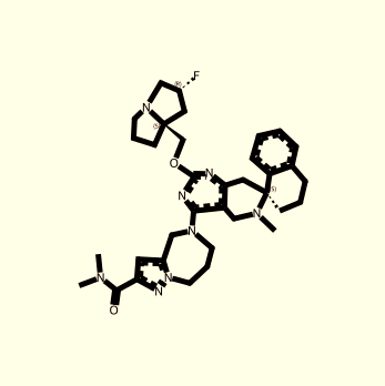 CN(C)C(=O)c1cc2n(n1)CCCN(c1nc(OC[C@@]34CCCN3C[C@H](F)C4)nc3c1CN(C)[C@@]1(CCCc4ccccc41)C3)C2